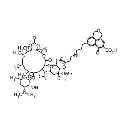 CC[C@H]1OC(=O)[C@H](C)[C@@H](O[C@H]2C[C@@](C)(OC)[C@@H](OC(=O)CCNCCCc3cc4c5c(c3)c(=O)c(C(=O)O)cn5COC4)[C@H](C)O2)[C@H](C)[C@@H](O[C@@H]2O[C@H](C)C[C@H](N(C)C)[C@H]2O)[C@](C)(O)C[C@@H](C)CN(C)[C@H](C)[C@H]2OC(=O)O[C@@]21C